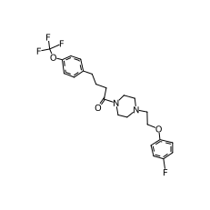 O=C(CCCc1ccc(OC(F)(F)F)cc1)N1CCN(CCOc2ccc(F)cc2)CC1